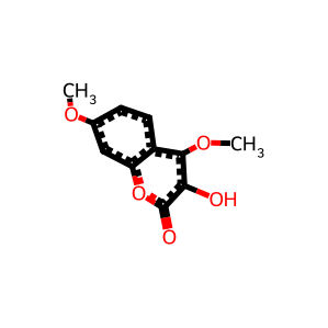 COc1ccc2c(OC)c(O)c(=O)oc2c1